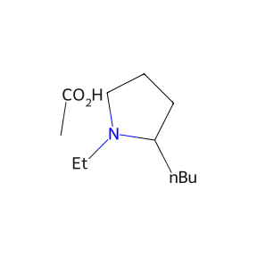 CC(=O)O.CCCCC1CCCN1CC